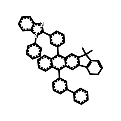 CC1(C)C2=C(CCC=C2)c2cc3c(-c4cccc(-c5ccccc5)c4)c4ccccc4c(-c4cccc(-c5nc6ccccc6n5-c5ccccc5)c4)c3cc21